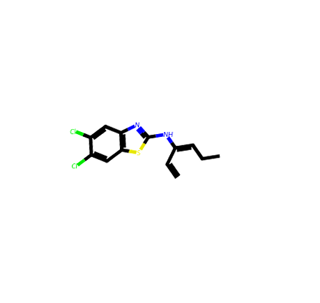 C=C/C(=C\CC)Nc1nc2cc(Cl)c(Cl)cc2s1